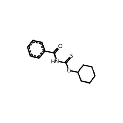 O=C(NC(=S)OC1CCCCC1)c1ccccc1